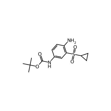 CC(C)(C)OC(=O)Nc1ccc(N)c(S(=O)(=O)C2CC2)c1